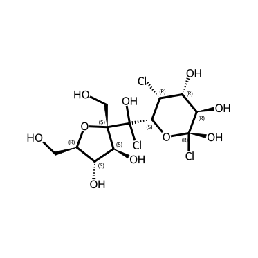 OC[C@H]1O[C@](CO)(C(O)(Cl)[C@H]2O[C@@](O)(Cl)[C@H](O)[C@@H](O)[C@H]2Cl)[C@@H](O)[C@@H]1O